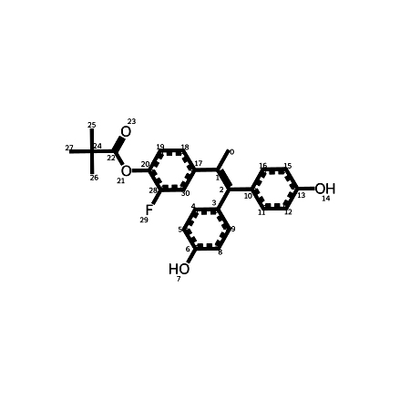 CC(=C(c1ccc(O)cc1)c1ccc(O)cc1)c1ccc(OC(=O)C(C)(C)C)c(F)c1